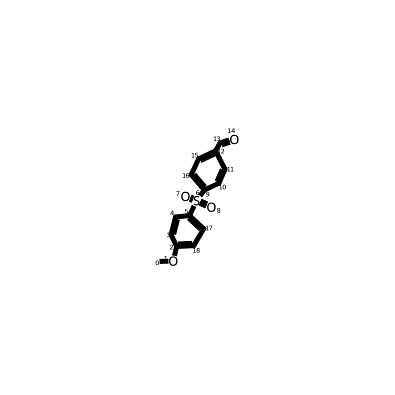 COc1ccc(S(=O)(=O)c2ccc(C=O)cc2)cc1